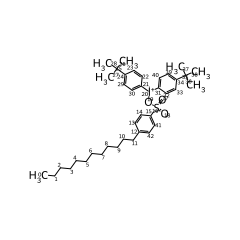 CCCCCCCCCCCCc1ccc(S(=O)(=O)O[I+](c2ccc(C(C)(C)C)cc2)c2ccc(C(C)(C)C)cc2)cc1